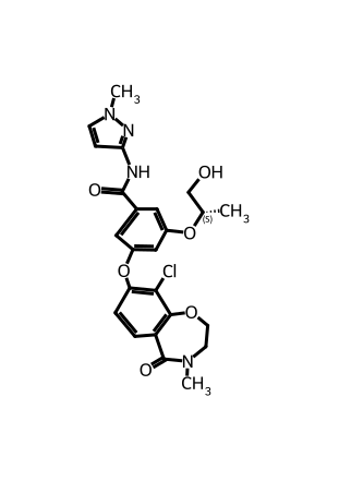 C[C@@H](CO)Oc1cc(Oc2ccc3c(c2Cl)OCCN(C)C3=O)cc(C(=O)Nc2ccn(C)n2)c1